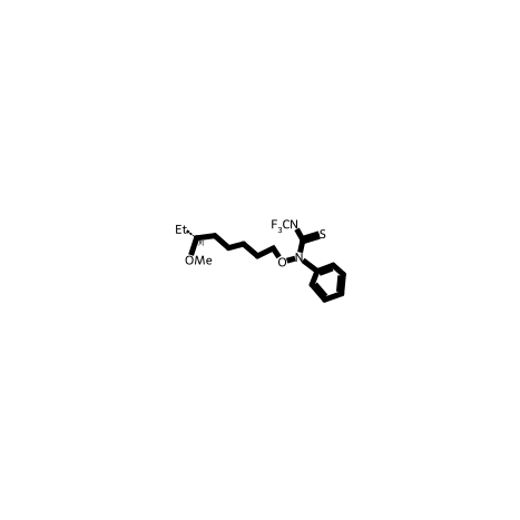 CC[C@H](CCCCCON(C(=S)NC(F)(F)F)c1ccccc1)OC